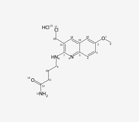 COc1ccc2nc(NCCCC(N)=O)c(CCl)cc2c1.Cl